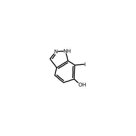 Oc1ccc2cn[nH]c2c1I